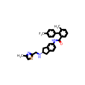 Cc1csc(CN[C@H]2Cc3ccc(NC(=O)c4cccc(C)c4-c4ccc(C(F)(F)F)cc4)cc3C2)n1